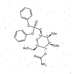 CC(=O)OC[C@H]1O[C@@H](OP(=O)(Oc2ccccc2)Oc2ccccc2)[C@@H](OC(C)=O)[C@@H](OC(C)=O)[C@@H]1OC(N)=O